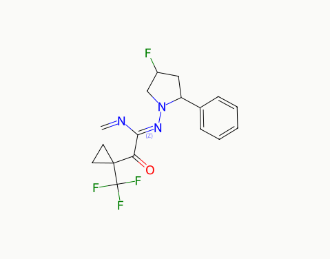 C=N/C(=N\N1CC(F)CC1c1ccccc1)C(=O)C1(C(F)(F)F)CC1